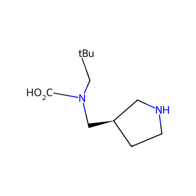 CC(C)(C)CN(C[C@@H]1CCNC1)C(=O)O